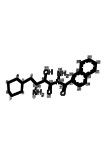 N[C@H](CC1CCCCC1)C(O)C(=O)N(N)C(=O)c1ccc2ccccc2c1